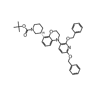 CC(C)(C)OC(=O)N1CCC[C@H](c2cccc3c2OCCN3c2ccc(OCc3ccccc3)nc2OCc2ccccc2)C1